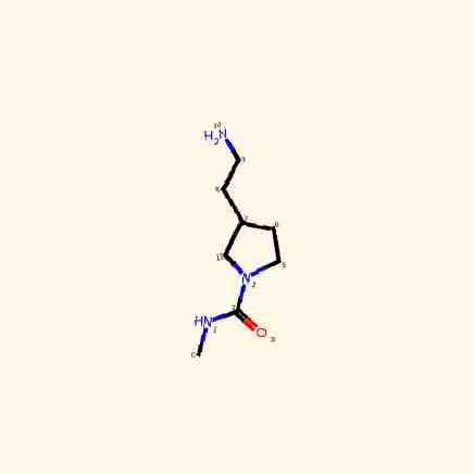 CNC(=O)N1CCC(CCN)C1